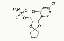 NS(=O)(=O)OC[C@H]1OC2(CCCC2)O[C@@H]1c1ccc(Cl)cc1Cl